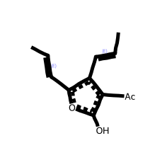 C/C=C/c1oc(O)c(C(C)=O)c1/C=C/C